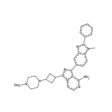 Cn1c(-c2ccccc2)nc2cc(-c3nc(C4CC(N5CCN(C=O)CC5)C4)n4ccnc(N)c34)ccc21